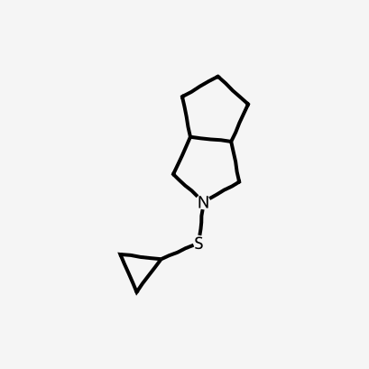 C1CC2CN(SC3CC3)CC2C1